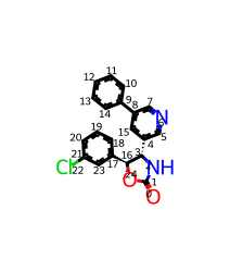 O=C1N[C@@H](c2cncc(-c3ccccc3)c2)[C@H](c2cccc(Cl)c2)O1